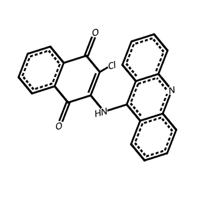 O=C1C(Cl)=C(Nc2c3ccccc3nc3ccccc23)C(=O)c2ccccc21